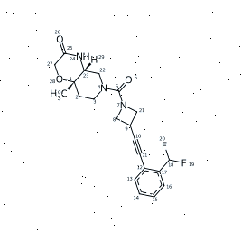 C[C@]12CCN(C(=O)N3CC(C#Cc4ccccc4C(F)F)C3)C[C@H]1NC(=O)CO2